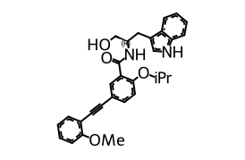 COc1ccccc1C#Cc1ccc(OC(C)C)c(C(=O)N[C@@H](CO)Cc2c[nH]c3ccccc23)c1